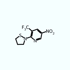 O=[N+]([O-])c1cnc(N2CCCS2)c(C(F)(F)F)c1